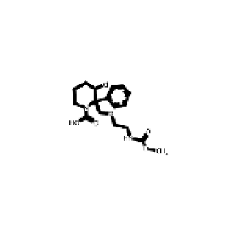 COC(=O)NCCOCC1(c2ccccc2)C(Cl)CCCN1C(=O)O